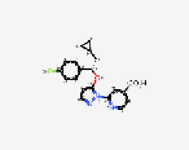 O=C(O)c1ccnc(-n2nccc2O[C@@H](CC2CC2)c2ccc(F)cc2)c1